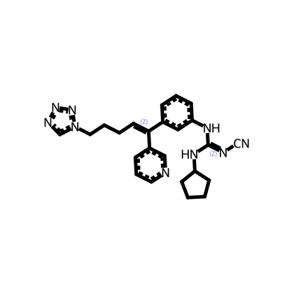 N#C/N=C(\Nc1cccc(/C(=C/CCCn2cnnn2)c2cccnc2)c1)NC1CCCC1